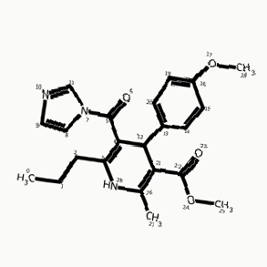 CCCC1=C(C(=O)n2ccnc2)C(c2ccc(OC)cc2)C(C(=O)OC)=C(C)N1